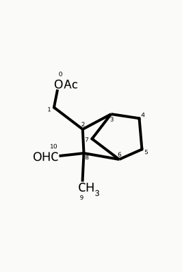 CC(=O)OCC1C2CCC(C2)C1(C)C=O